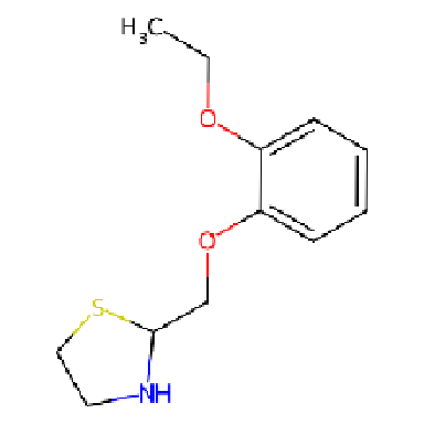 CCOc1ccccc1OCC1NCCS1